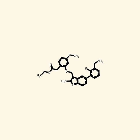 CCOC(=O)Cc1ccc(OC)cc1OCc1c(C)oc2ccc(-c3cccc(CN)c3F)cc12